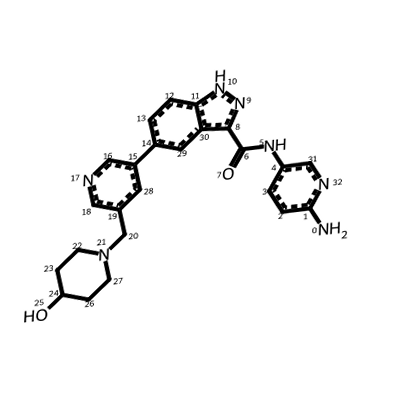 Nc1ccc(NC(=O)c2n[nH]c3ccc(-c4cncc(CN5CCC(O)CC5)c4)cc23)cn1